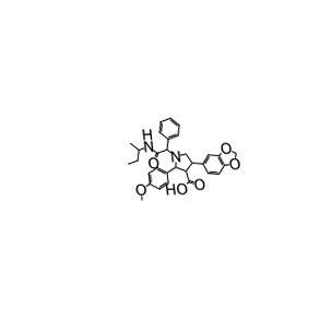 CCC(C)NC(=O)C(c1ccccc1)N1CC(c2ccc3c(c2)OCO3)C(C(=O)O)C1c1ccc(OC)cc1